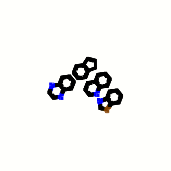 C1=Cc2ccccc2C1.c1ccc2ncccc2c1.c1ccc2nccnc2c1.c1ccc2scnc2c1